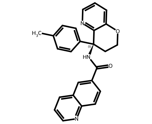 Cc1ccc([C@@]2(NC(=O)c3ccc4ncccc4c3)CCOc3cccnc32)cc1